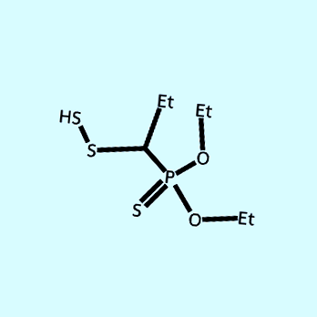 CCOP(=S)(OCC)C(CC)SS